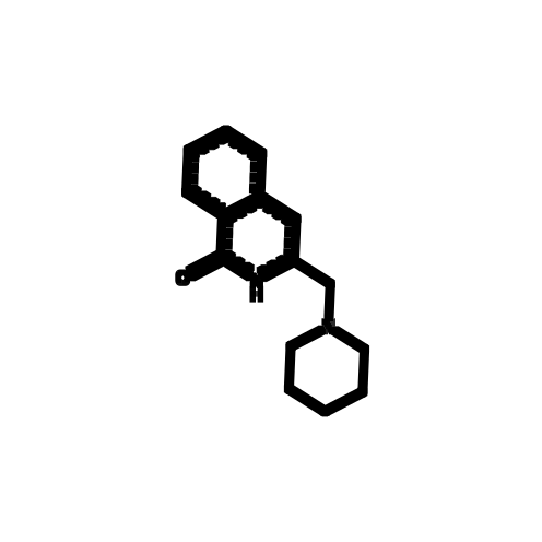 O=c1[nH]c(CN2CCCCC2)cc2ccccc12